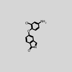 Nc1ccc(Oc2ccc3c(c2)C=NC3=O)c(Cl)c1